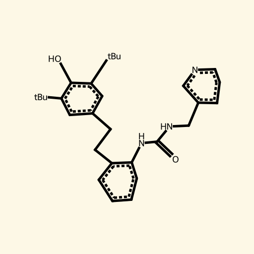 CC(C)(C)c1cc(CCc2ccccc2NC(=O)NCc2cccnc2)cc(C(C)(C)C)c1O